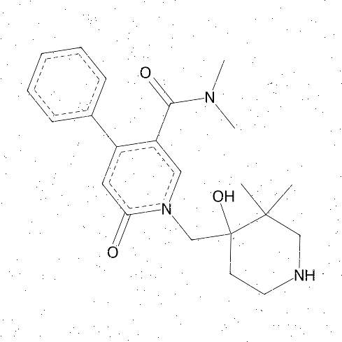 CN(C)C(=O)c1cn(CC2(O)CCNCC2(C)C)c(=O)cc1-c1ccccc1